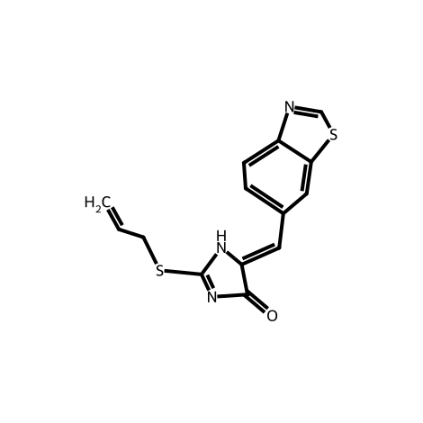 C=CCSC1=NC(=O)C(=Cc2ccc3ncsc3c2)N1